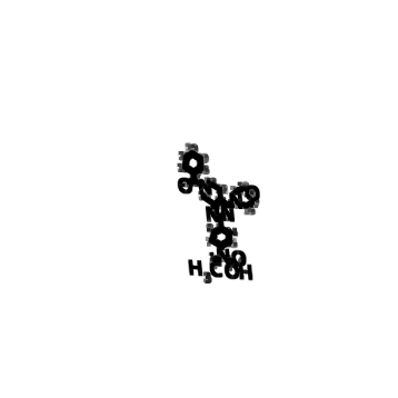 CCN(C(=O)O)c1ccc(-c2nc3c(c(N4CCOCC4)n2)CCN(C(=O)c2ccccc2)C3)cc1